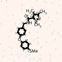 CSc1ccc(Oc2ccc(CNC(=O)c3c(C)c(C)nn3C)cc2)cc1